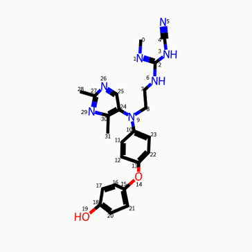 CN=C(NC#N)NCCN(c1ccc(Oc2ccc(O)cc2)cc1)c1cnc(C)nc1C